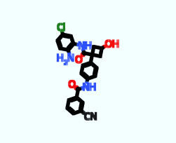 N#Cc1cccc(C(=O)Nc2ccc(C3(C(=O)Nc4cc(Cl)ccc4N)CC(O)C3)cc2)c1